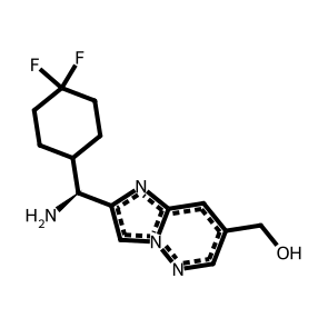 N[C@H](c1cn2ncc(CO)cc2n1)C1CCC(F)(F)CC1